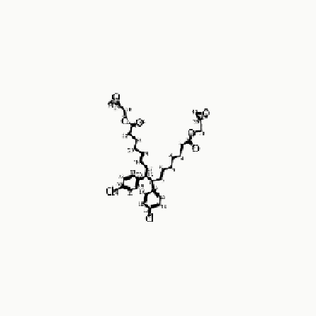 O=C(CCCCCCC(c1ccc(Cl)cc1)C(CCCCCCC(=O)OCC1CO1)c1ccc(Cl)cc1)OCC1CO1